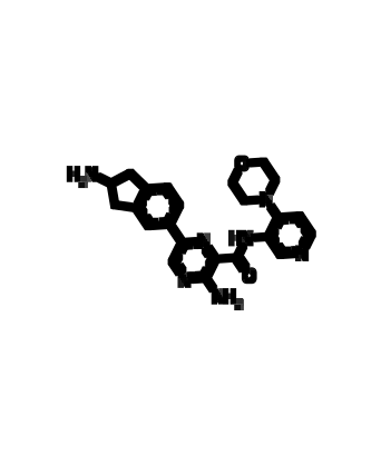 Nc1ncc(-c2ccc3c(c2)CC(N)C3)nc1C(=O)Nc1cnccc1N1CCOCC1